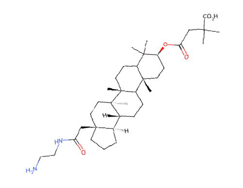 CC(C)(CC(=O)O[C@H]1CC[C@@]2(C)C(CC[C@]3(C)C2CC[C@@H]2[C@H]4CCC[C@]4(CC(=O)NCCN)CC[C@]23C)C1(C)C)C(=O)O